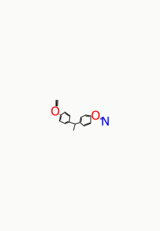 C#COc1ccc(C(C)c2ccc(OC#N)cc2)cc1